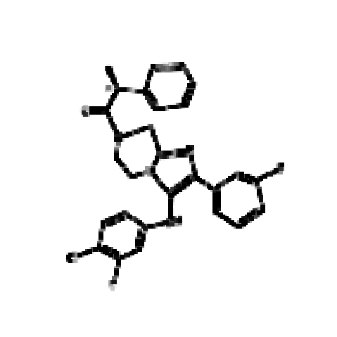 C[C@H](C(=O)N1CCn2c(nc(-c3cccc(F)c3)c2Nc2ccc(Cl)c(F)c2)C1)c1ccccc1